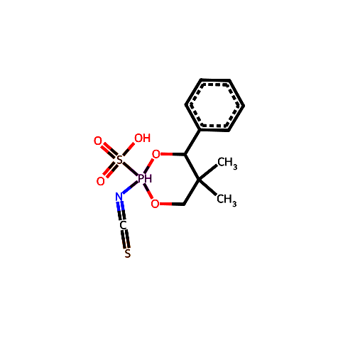 CC1(C)CO[PH](N=C=S)(S(=O)(=O)O)OC1c1ccccc1